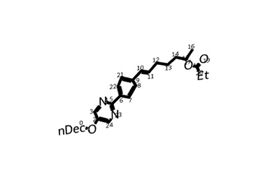 CCCCCCCCCCOc1cnc(-c2ccc(C=CCCCC(C)OC(=O)CC)cc2)nc1